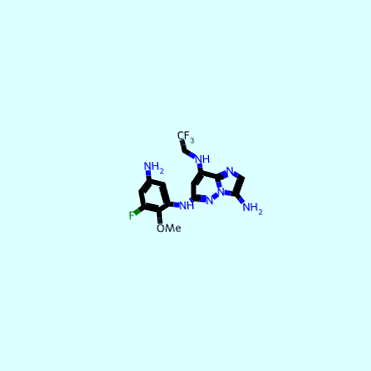 COc1c(F)cc(N)cc1Nc1cc(NCC(F)(F)F)c2ncc(N)n2n1